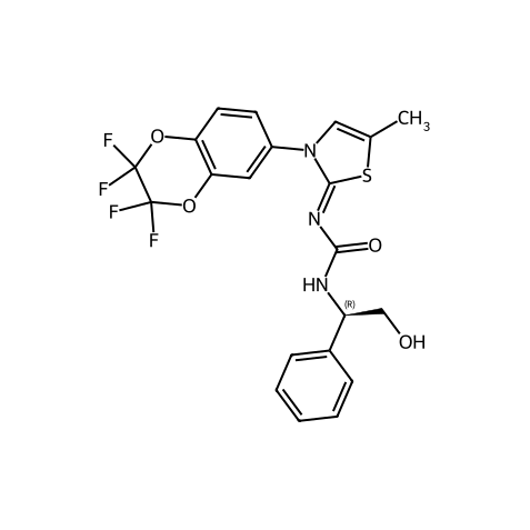 Cc1cn(-c2ccc3c(c2)OC(F)(F)C(F)(F)O3)c(=NC(=O)N[C@@H](CO)c2ccccc2)s1